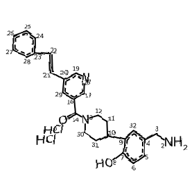 Cl.Cl.NCc1ccc(O)c(C2CCN(C(=O)c3cncc(C=Cc4ccccc4)c3)CC2)c1